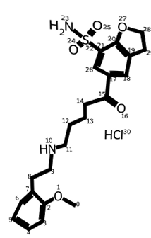 COc1ccccc1CCNCCCCC(=O)c1cc2c(c(S(N)(=O)=O)c1)OCC2.Cl